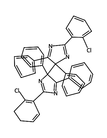 ClC1=C(C2=NC(c3ccccc3)(C3(c4ccccc4)N=C(c4ccccc4Cl)N=C3c3ccccc3)C(c3ccccc3)=N2)C=CCC1